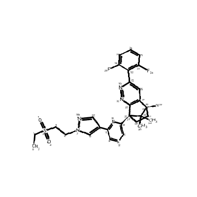 CCS(=O)(=O)CCn1cc(-c2cncc([C@@]34CC[C@@H](c5cc(-c6c(F)cccc6F)nnc53)C4(C)C)n2)cn1